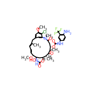 COc1cc2cc(c1Cl)N(C)C(=O)C[C@H](OC(=O)Nc1ccc(N)c(C(F)(F)F)c1)[C@]1(C)O[C@H]1[C@H](C)[C@@H]1C[C@@](O)(NC(=O)O1)[C@H](OC)/C=C/C=C(\C)C2